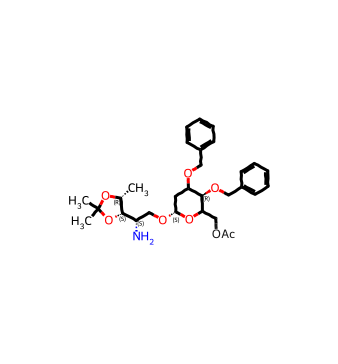 CC(=O)OCC1O[C@H](OC[C@H](N)[C@@H]2OC(C)(C)O[C@@H]2C)CC(OCc2ccccc2)[C@H]1OCc1ccccc1